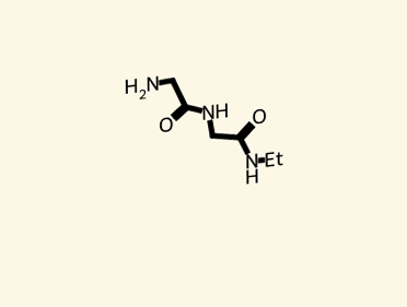 CCNC(=O)CNC(=O)CN